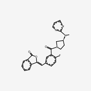 CN(c1ncccn1)[C@H]1CCN(C(=O)c2cc(C=C3OC(=O)c4ccccc43)ccc2F)C1